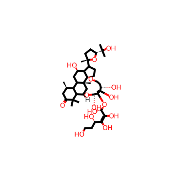 C[C@@H]1CC(=O)C(C)(C)C2C1C1C[C@@H](O)C3C([C@]4(C)CC[C@H](C(C)(C)O)O4)CC[C@]34OCC[C@H](O)/C(O)=C(/O[C@@H](O)/C(O)=C(/O)[C@@H](O)CCO)[C@H](O)O[C@H]2C[C@]14C